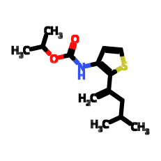 C=C(CC(C)C)c1sccc1NC(=O)OC(C)C